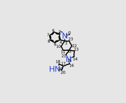 CN(C)C1(c2ccccc2)CCC2(CCN(CC3CNC3)C2)CC1